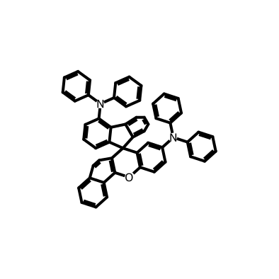 c1ccc(N(c2ccccc2)c2ccc3c(c2)C2(c4ccccc4-c4c(N(c5ccccc5)c5ccccc5)cccc42)c2ccc4ccccc4c2O3)cc1